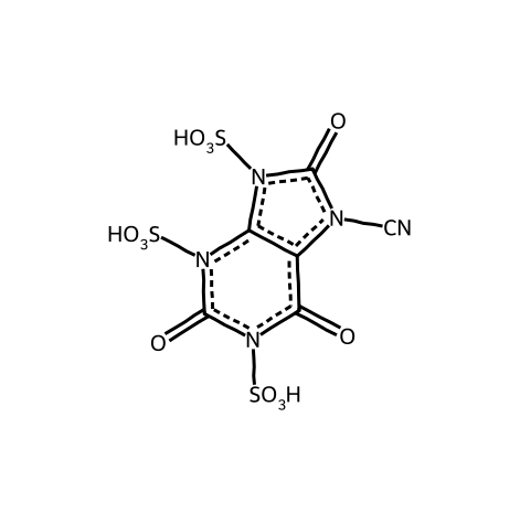 N#Cn1c(=O)n(S(=O)(=O)O)c2c1c(=O)n(S(=O)(=O)O)c(=O)n2S(=O)(=O)O